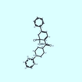 COC1(Cl)CC(c2ccccc2)=CC=C1C(=O)C1CCN(c2ncccn2)CC1